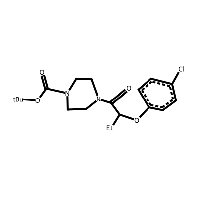 CCC(Oc1ccc(Cl)cc1)C(=O)N1CCN(C(=O)OC(C)(C)C)CC1